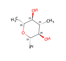 CC(C)[C@@H]1O[C@H](C)[C@@H](O)[C@H](C)[C@H]1O